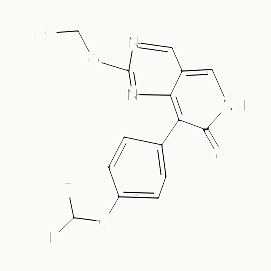 CCOc1ncc2c[nH]c(=O)c(-c3ccc(OC(F)F)cc3)c2n1